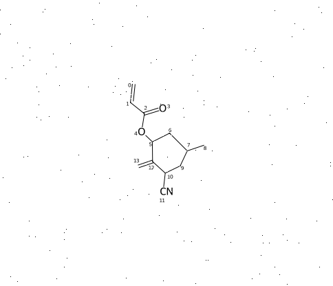 C=CC(=O)OC1CC(C)CC(C#N)C1=C